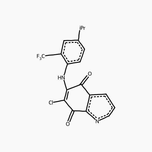 CC(C)c1ccc(NC2=C(Cl)C(=O)c3ncccc3C2=O)c(C(F)(F)F)c1